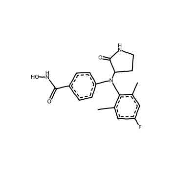 Cc1cc(F)cc(C)c1N(c1ccc(C(=O)NO)cc1)C1CCNC1=O